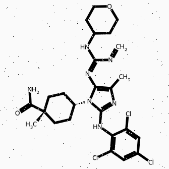 C=N/C(=N\c1c(C)nc(Nc2c(Cl)cc(Cl)cc2Cl)n1[C@H]1CC[C@@](C)(C(N)=O)CC1)NC1CCOCC1